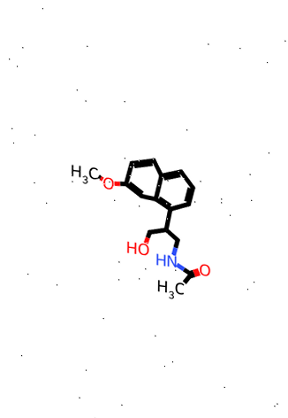 COc1ccc2cccc(C(CO)CNC(C)=O)c2c1